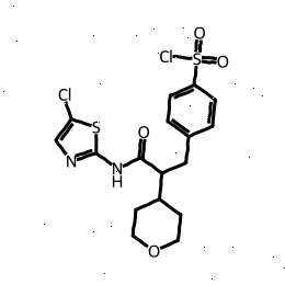 O=C(Nc1ncc(Cl)s1)C(Cc1ccc(S(=O)(=O)Cl)cc1)C1CCOCC1